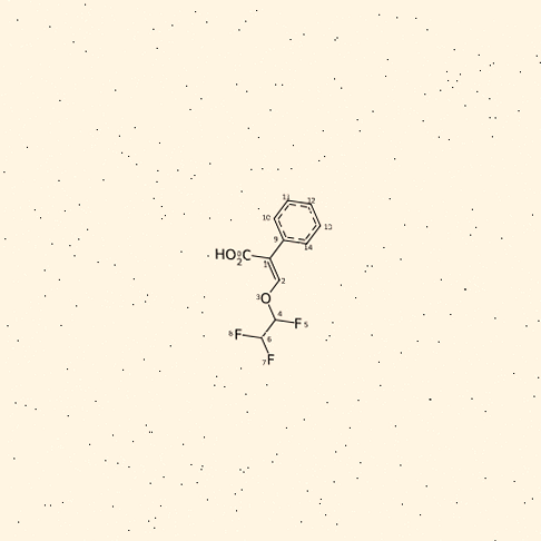 O=C(O)C(=COC(F)C(F)F)c1ccccc1